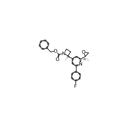 C[C@@]1(c2cc(-c3ccc(F)cc3)nc([C@]3(C)CO3)c2)CCN1C(=O)OCc1ccccc1